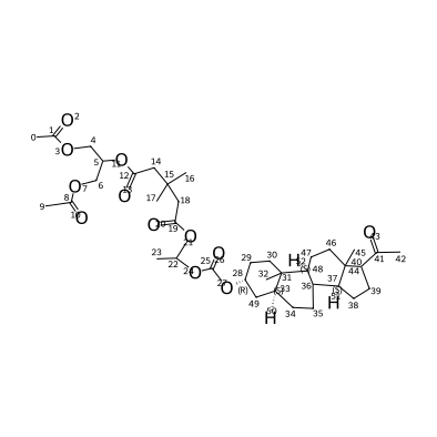 CC(=O)OCC(COC(C)=O)OC(=O)CC(C)(C)CC(=O)OC(C)OC(=O)O[C@@H]1CCC2(C)[C@@H](CCC3[C@@H]4CCC(C(C)=O)C4(C)CC[C@@H]32)C1